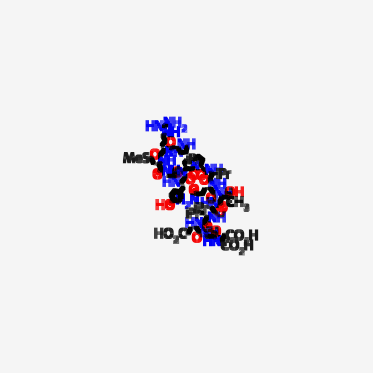 CSCC[C@H](NC(=O)[C@H](CCCNC(=N)N)NC(=O)[C@@H]1CCCN1)C(=O)NCC(=O)N[C@@H](Cc1ccc(O)cc1)C(=O)N[C@@H](CC(C)C)C(=O)N1CCC[C@H]1C(=O)N[C@H](C(=O)N[C@@H](CCC(N)=O)C(=O)N[C@H](C(=O)N[C@H](C(=O)N[C@@H](CC(C)C)C(=O)N[C@@H](CCC(=O)O)C(=O)NCC(=O)N[C@@H](CC(=O)O)C(=O)O)C(C)C)[C@@H](C)O)C(C)C